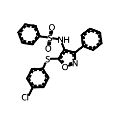 O=S(=O)(Nc1c(-c2ccccc2)noc1Sc1ccc(Cl)cc1)c1ccccc1